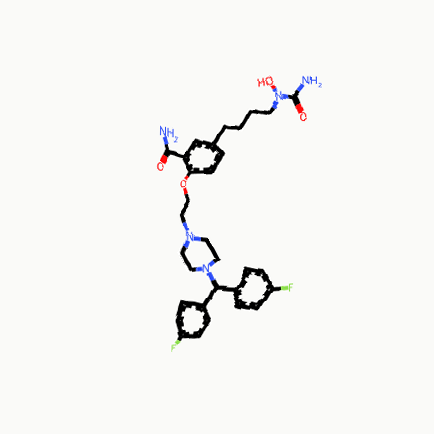 NC(=O)c1cc(CCCCN(O)C(N)=O)ccc1OCCN1CCN(C(c2ccc(F)cc2)c2ccc(F)cc2)CC1